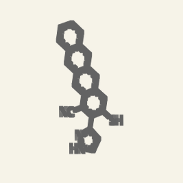 N#Cc1c(-c2cc[nH]n2)c(S)cc2cc3cc4ccccc4cc3cc12